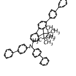 CC(C)(C)C1(C(C)(C)C)c2cc(-c3ccc(-c4ccccc4)cc3)ccc2-c2ccc(N(c3ccc(-c4ccccc4)cc3)c3ccc(-c4ccccc4)cc3)cc21